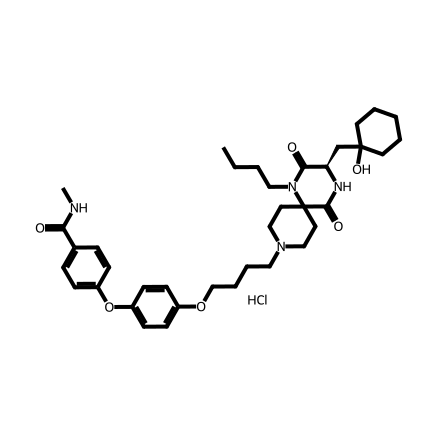 CCCCN1C(=O)[C@@H](CC2(O)CCCCC2)NC(=O)C12CCN(CCCCOc1ccc(Oc3ccc(C(=O)NC)cc3)cc1)CC2.Cl